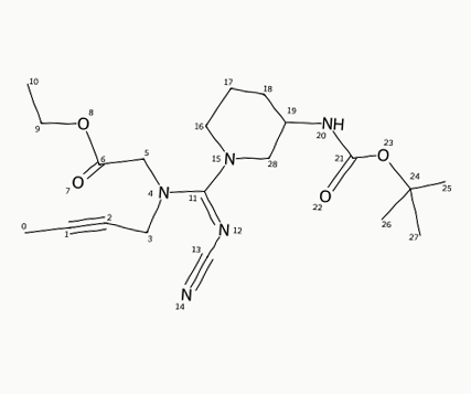 CC#CCN(CC(=O)OCC)C(=NC#N)N1CCCC(NC(=O)OC(C)(C)C)C1